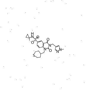 Cn1cc(Cn2c(=O)c3cc(S(=O)(=O)NC4(C)CC4)ccc3n(CC3CCSCC3)c2=O)cn1